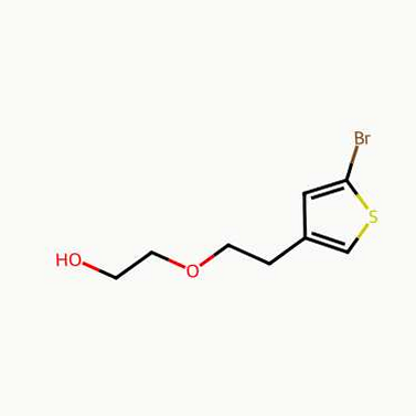 OCCOCCc1csc(Br)c1